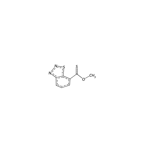 COC(=S)c1cccc2nnsc12